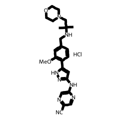 COc1cc(CNC(C)(C)CN2CCOCC2)ccc1-c1cc(Nc2cnc(C#N)cn2)n[nH]1.Cl